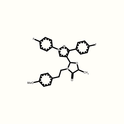 COc1ccc(CCN2C(=O)C(C)OC2c2cn(-c3ccc(F)cc3)nc2-c2ccc(F)cc2)cc1